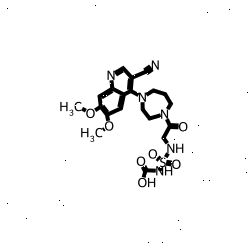 COc1cc2ncc(C#N)c(N3CCCN(C(=O)CNS(=O)(=O)NC(=O)O)CC3)c2cc1OC